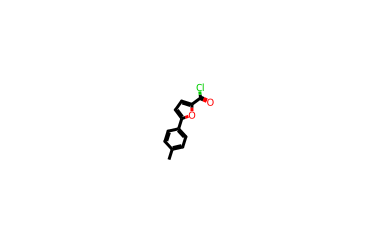 Cc1ccc(-c2ccc(C(=O)Cl)o2)cc1